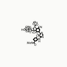 CNC(=O)c1ccc(C)c(Nc2ncnc(-c3cc(C#N)c4c(c3)[C@@](C)(CCC(C)(C)[Si](C)(C)O)CN4C(=O)OC(C)(C)C)n2)c1